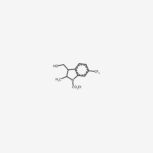 CCOC(=O)N1c2cc(C(F)(F)F)ccc2C(CO)C1C